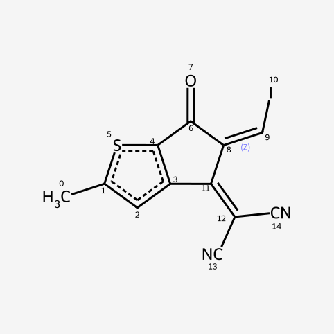 Cc1cc2c(s1)C(=O)/C(=C\I)C2=C(C#N)C#N